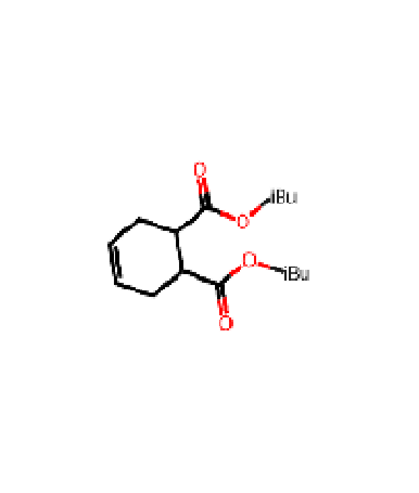 CCC(C)OC(=O)C1CC=CCC1C(=O)OC(C)CC